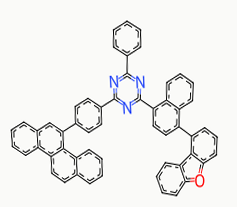 c1ccc(-c2nc(-c3ccc(-c4cc5ccccc5c5ccc6ccccc6c45)cc3)nc(-c3ccc(-c4cccc5oc6ccccc6c45)c4ccccc34)n2)cc1